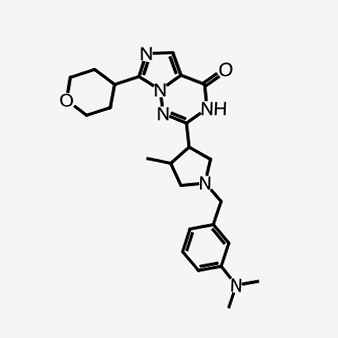 CC1CN(Cc2cccc(N(C)C)c2)CC1c1nn2c(C3CCOCC3)ncc2c(=O)[nH]1